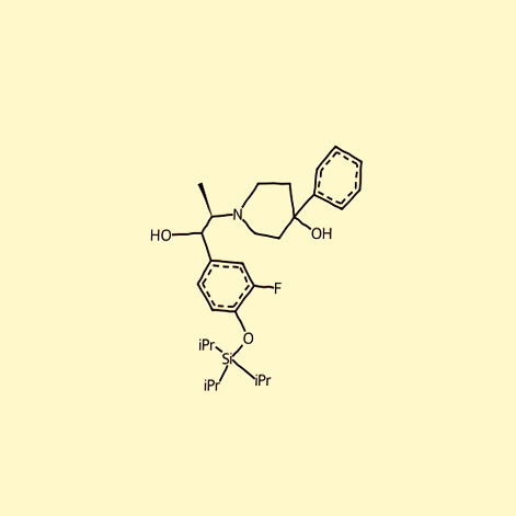 CC(C)[Si](Oc1ccc(C(O)[C@@H](C)N2CCC(O)(c3ccccc3)CC2)cc1F)(C(C)C)C(C)C